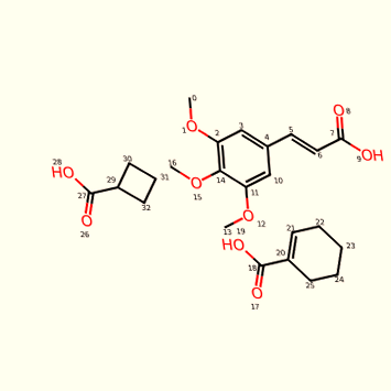 COc1cc(C=CC(=O)O)cc(OC)c1OC.O=C(O)C1=CCCCC1.O=C(O)C1CCC1